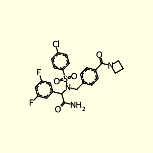 NC(=O)C(c1cc(F)cc(F)c1)N(Cc1ccc(C(=O)N2CCC2)cc1)S(=O)(=O)c1ccc(Cl)cc1